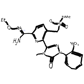 CCO/N=C(\N)c1ccc(CS(=O)(=O)NC)c(-c2nn(-c3ccccc3[N+](=O)[O-])c(=O)n2C)n1